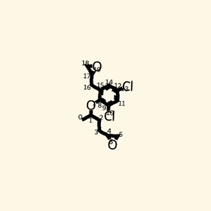 CC(CCC1CO1)Oc1c(Cl)cc(Cl)cc1CC1CO1